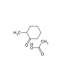 CC(=O)O.CC1CCCCC1=O